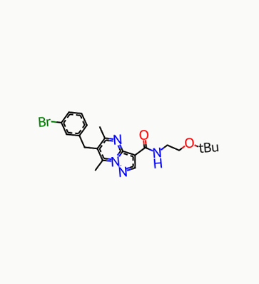 Cc1nc2c(C(=O)NCCOC(C)(C)C)cnn2c(C)c1Cc1cccc(Br)c1